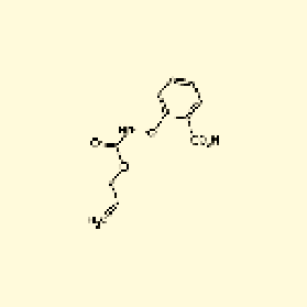 C=CCOC(=O)NOc1ccccc1C(=O)O